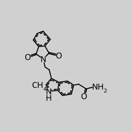 C.NC(=O)Cc1ccc2[nH]cc(CCN3C(=O)c4ccccc4C3=O)c2c1